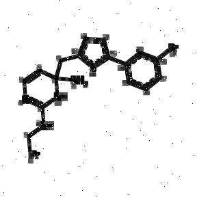 CC(C)CNC1=NC=CC(N)(Cc2ccc(-c3cccc(Br)c3)s2)N1